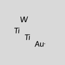 [Au].[Ti].[Ti].[W]